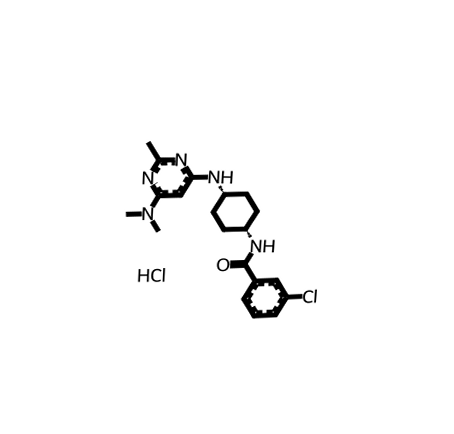 Cc1nc(N[C@H]2CC[C@@H](NC(=O)c3cccc(Cl)c3)CC2)cc(N(C)C)n1.Cl